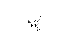 [C]1=C(C2CC2)C=C(C2CC2)NC1C1CC1